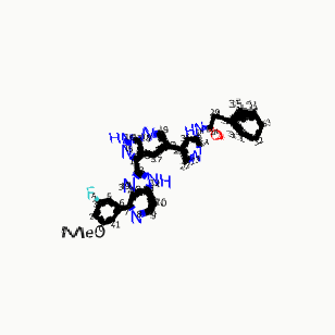 COc1cc(F)cc(-c2nccc3[nH]c(-c4n[nH]c5ncc(-c6cncc(NC(=O)Cc7ccccc7)c6)cc45)nc23)c1